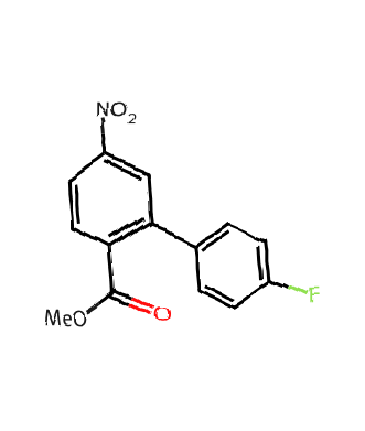 COC(=O)c1ccc([N+](=O)[O-])cc1-c1ccc(F)cc1